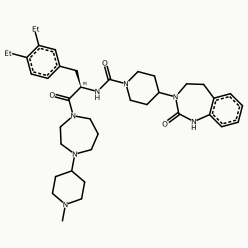 CCc1ccc(C[C@@H](NC(=O)N2CCC(N3CCc4ccccc4NC3=O)CC2)C(=O)N2CCCN(C3CCN(C)CC3)CC2)cc1CC